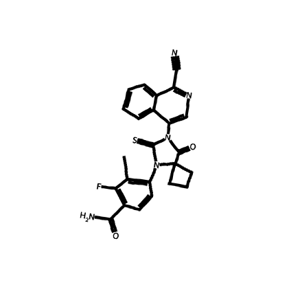 Cc1c(N2C(=S)N(c3cnc(C#N)c4ccccc34)C(=O)C23CCC3)ccc(C(N)=O)c1F